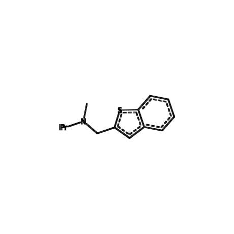 CC(C)N(C)Cc1cc2ccccc2s1